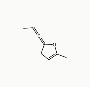 CC=C=C1CC=C(C)O1